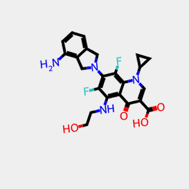 Nc1cccc2c1CN(c1c(F)c(NCCO)c3c(=O)c(C(=O)O)cn(C4CC4)c3c1F)C2